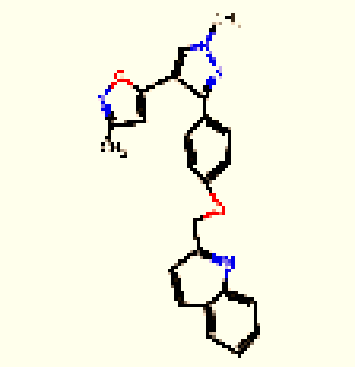 Cc1cc(-c2cn(C)nc2-c2ccc(OCc3ccc4ccccc4n3)cc2)on1